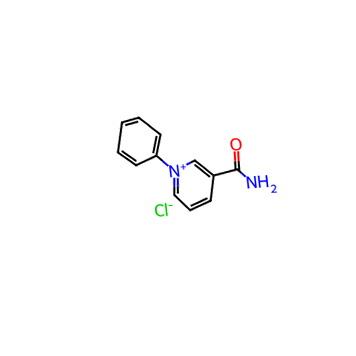 NC(=O)c1ccc[n+](-c2ccccc2)c1.[Cl-]